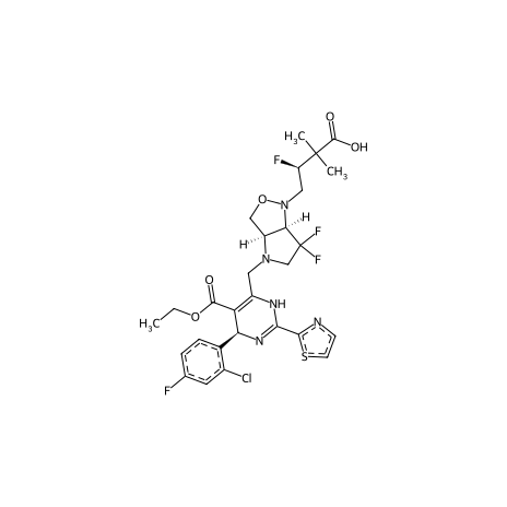 CCOC(=O)C1=C(CN2CC(F)(F)[C@H]3[C@@H]2CON3C[C@@H](F)C(C)(C)C(=O)O)NC(c2nccs2)=N[C@H]1c1ccc(F)cc1Cl